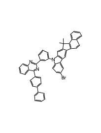 CC1(C)c2cc3c(cc2-c2ccc4ccccc4c21)c1cc(Br)ccc1n3-c1cccc(-c2nc(-c3ccc(-c4ccccc4)cc3)c3ccccc3n2)c1